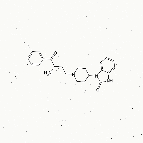 NC(CCN1CCC(n2c(=O)[nH]c3ccccc32)CC1)C(=O)c1ccccc1